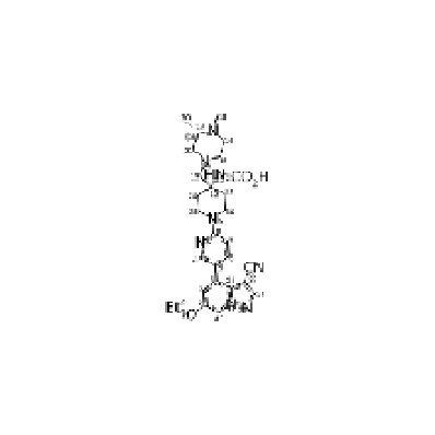 CCOc1cc(-c2ccc(N3CCC(CN4CCN(C)[C@@H](C)C4)(NC(=O)O)CC3)nc2)c2c(C#N)cnn2c1